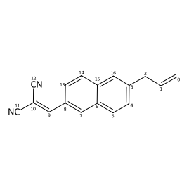 C=CCc1ccc2cc(C=C(C#N)C#N)ccc2c1